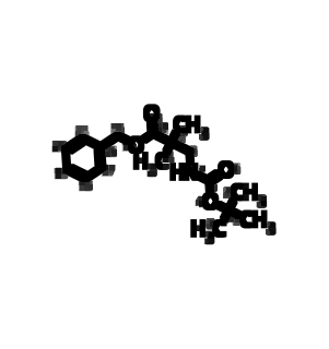 CC(C)(C)OC(=O)NCC(C)(C)C(=O)OCc1ccccc1